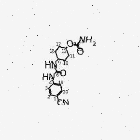 N#Cc1ccc(NC(=O)NC2CCC(OC(N)=O)CC2)cc1